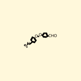 CN(C)/N=C/c1ccc(OCOc2ccc(C=O)cc2)cc1